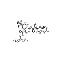 CC(C)CCC(=O)N1CC/C(=C\C(=O)Nc2ccc3cccnc3c2)c2ccc(C(F)(F)F)cc21